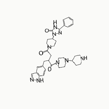 O=C(CC(Cc1ccc2[nH]ncc2c1)C(=O)N1CCN(C2CCNCC2)CC1)N1CCC(n2nc(-c3ccccc3)[nH]c2=O)CC1